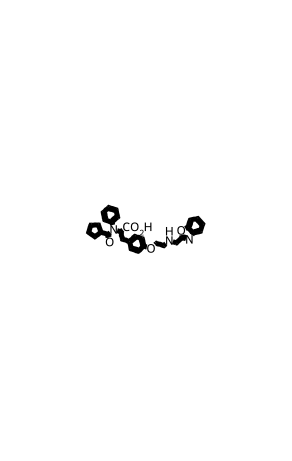 O=C(O)C(Cc1ccc(OCCNCc2nc3ccccc3o2)cc1)N(C(=O)C1CCCC1)c1ccccc1